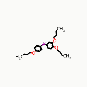 CCCCOc1ccc([I+]c2ccc(OCCCC)c(OCCCC)c2)cc1